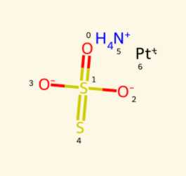 O=S([O-])([O-])=S.[NH4+].[Pt+]